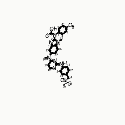 COc1ccc(N(C(=O)O)c2nc3cc(N(C)c4ccnc(Nc5ccc(CS(C)(=O)=O)cc5)n4)ccc3n2C)cc1